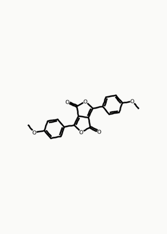 COc1ccc(C2=C3C(=O)OC(c4ccc(OC)cc4)=C3C(=O)O2)cc1